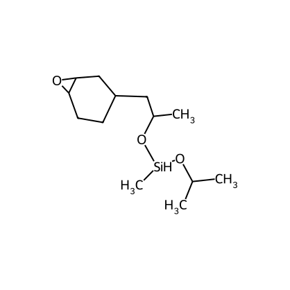 CC(C)O[SiH](C)OC(C)CC1CCC2OC2C1